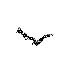 CCCCC(C)(C(=O)c1cccc(C(=O)Oc2ccc(C(C)(CC)c3ccc(OC(C)(C)CCC)cc3)cc2)c1)C(C)(C)Oc1ccc(C(C)(CC)c2ccc(OC(=O)c3ccc(C(=O)C(C)C)cc3)cc2)cc1